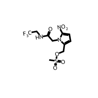 CS(=O)(=O)OCc1ccc([N+](=O)[O-])n1CC(=O)NCC(F)(F)F